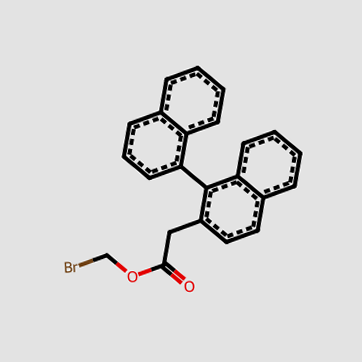 O=C(Cc1ccc2ccccc2c1-c1cccc2ccccc12)OCBr